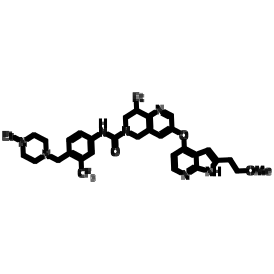 CCC1CN(C(=O)Nc2ccc(CN3CCN(CC)CC3)c(C(F)(F)F)c2)Cc2cc(Oc3ccnc4[nH]c(CCOC)cc34)cnc21